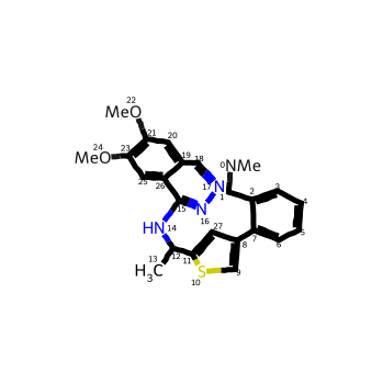 CNCc1ccccc1-c1csc(C(C)Nc2nncc3cc(OC)c(OC)cc23)c1